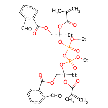 C=C(C)C(=O)OC(CC)(COC(=O)c1ccccc1C=O)OP(=O)(OCC)OP(=O)(OCC)OC(CC)(COC(=O)c1ccccc1C=O)OC(=O)C(=C)C